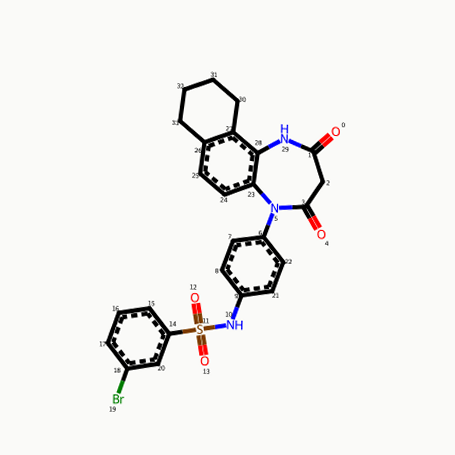 O=C1CC(=O)N(c2ccc(NS(=O)(=O)c3cccc(Br)c3)cc2)c2ccc3c(c2N1)CCCC3